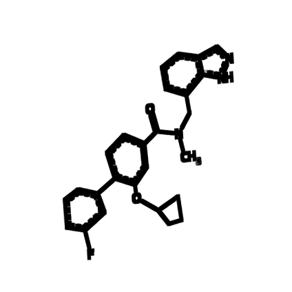 CN(Cc1cccc2cn[nH]c12)C(=O)c1ccc(-c2cccc(F)c2)c(OC2CCC2)c1